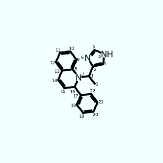 CC(c1c[nH]cn1)N1c2ccccc2C=CC1c1ccccc1